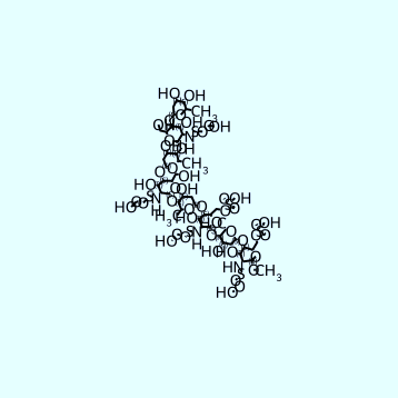 CO[C@@H]1OC(COS(=O)(=O)O)[C@@H](O[C@H]2C[C@H](O)[C@@H](O[C@@H]3OC(COS(=O)(=O)O)[C@@H](O[C@H]4C[C@H](O)[C@@H](O[C@@H]5OC(CO)[C@@H](O[C@H]6C[C@H](O)[C@@H](O[C@@H]7OC(CO)[C@@H](O[C@H]8C[C@H](O)[C@H](O)C(C)O8)[C@H](O)C7NSOOO)C(C)O6)[C@H](O)C5NSOOO)C(C)O4)[C@H](O)C3NSOOO)C(C)O2)[C@H](O)C1NSOOO